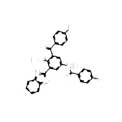 O=C(Nc1cc(C(=O)c2ccc(F)cc2)c(O)c(-c2nc3ccccc3o2)c1)c1ccc(F)cc1